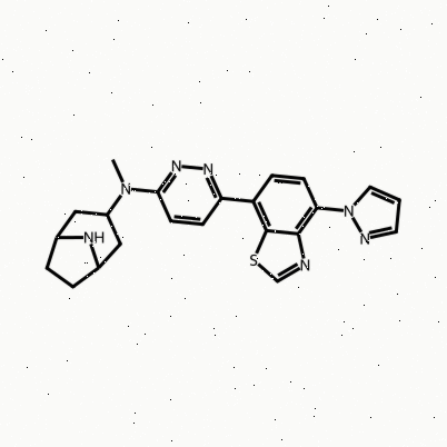 CN(c1ccc(-c2ccc(-n3cccn3)c3ncsc23)nn1)C1CC2CCC(C1)N2